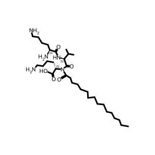 CCCCCCCCCCCCCCCC(=O)N(C(=O)[C@@H](NC(=O)[C@@H](N)CCCCN)C(C)C)[C@@H](CCCCN)C(=O)O